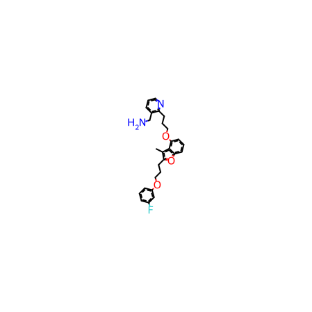 Cc1c(CCCOc2cccc(F)c2)oc2cccc(OCCCc3ncccc3CN)c12